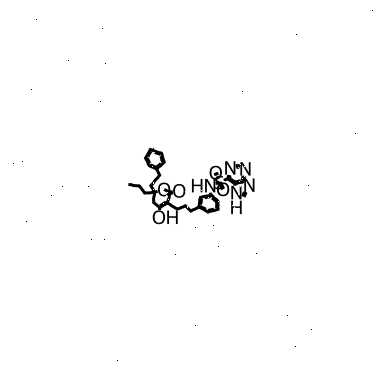 CCCC1(CCc2ccccc2)CC(O)=C(CCCc2cccc(NS(=O)(=O)c3ncnc4nc[nH]c34)c2)C(=O)O1